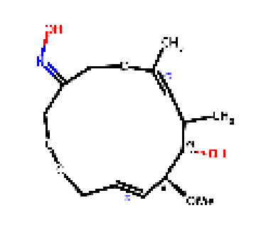 CO[C@H]1/C=C/CCCCC(=NO)CC/C(C)=C\C(C)[C@@H]1O